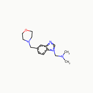 CN(C)Cn1cnc2cc(CN3CCOCC3)ccc21